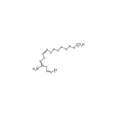 CC/C=C\C/C(=C\C/C=C\CCCCCCCC(=O)O)[N+](=O)[O-]